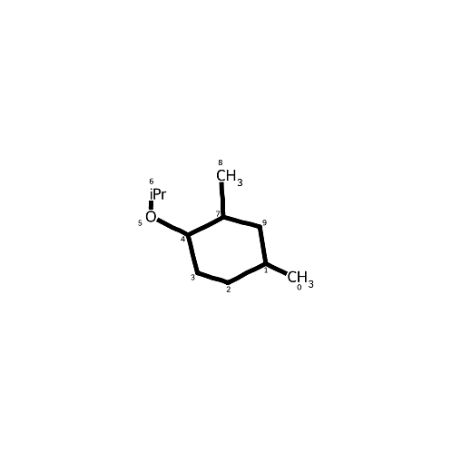 CC1CCC(OC(C)C)C(C)C1